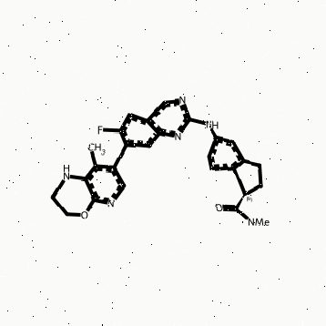 CNC(=O)[C@@H]1CCc2cc(Nc3ncc4cc(F)c(-c5cnc6c(c5C)NCCO6)cc4n3)ccc21